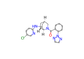 O=C(c1ccccc1-n1nccn1)N1C[C@@H]2CC[C@H]1[C@H](Nc1ccc(Cl)cn1)C2